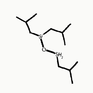 CC(C)C[SiH2]O[Si](CC(C)C)CC(C)C